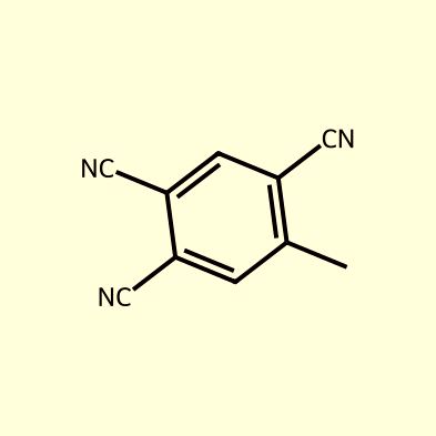 Cc1cc(C#N)c(C#N)cc1C#N